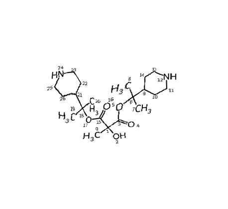 CC(O)(C(=O)OC(C)(C)C1CCNCC1)C(=O)OC(C)(C)C1CCNCC1